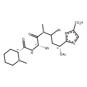 CC(=O)O[C@H](CC(C(C)C)N(C)C(=O)[C@@H](NC(=O)[C@H]1CCCCN1C)C(C)C)c1nc(C(=O)O)cs1